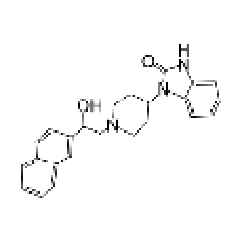 O=c1[nH]c2ccccc2n1C1CCN(CC(O)c2ccc3ccccc3c2)CC1